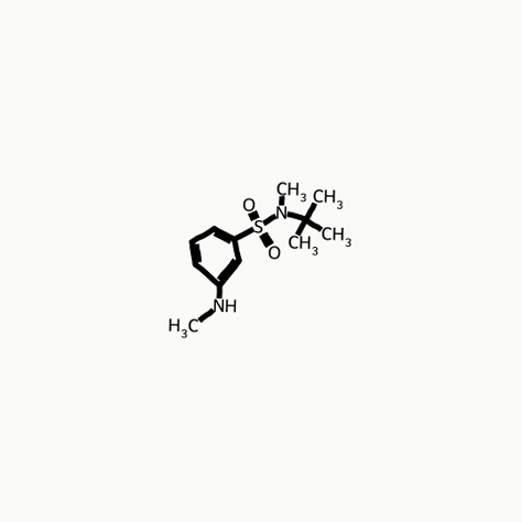 CNc1cccc(S(=O)(=O)N(C)C(C)(C)C)c1